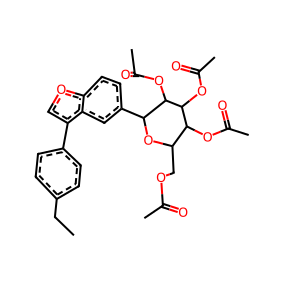 CCc1ccc(-c2coc3ccc(C4OC(COC(C)=O)C(OC(C)=O)C(OC(C)=O)C4OC(C)=O)cc23)cc1